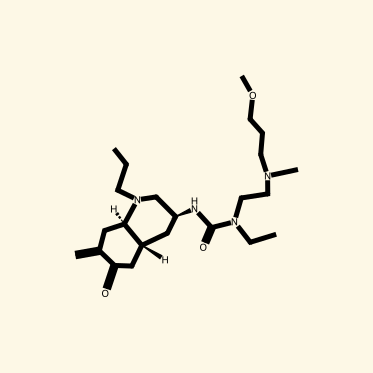 C=C1C[C@@H]2[C@@H](CC1=O)C[C@H](NC(=O)N(CC)CCN(C)CCCOC)CN2CCC